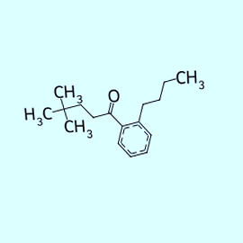 CCCCc1ccccc1C(=O)CCC(C)(C)C